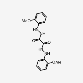 COc1ccccc1NNC(=O)C(=O)NNc1ccccc1OC